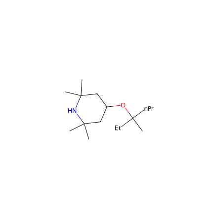 CCCC(C)(CC)OC1CC(C)(C)NC(C)(C)C1